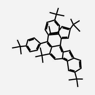 CCC1C=C(C(C)(C)C)C=C1c1c2c(cc(C(C)(C)C)c1=C(c1ccc(C(C)(C)C)cc1)c1ccc(C(C)(C)C)cc1)=c1cc(C(C)(C)C)ccc1=[C]2